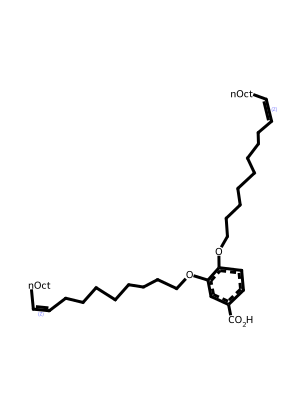 CCCCCCCC/C=C\CCCCCCCCOc1ccc(C(=O)O)cc1OCCCCCCCC/C=C\CCCCCCCC